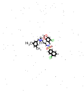 CC[N+](CC)(CCCCN(Cc1cc2c(cc1Cl)OCO2)S(=O)(=O)c1ccc2c(Cl)cccc2c1)Cc1cc(C)cc(C)c1